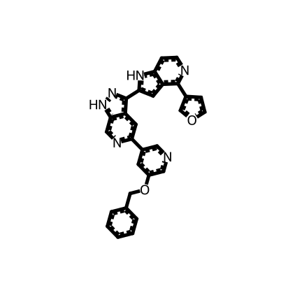 c1ccc(COc2cncc(-c3cc4c(-c5cc6c(-c7ccoc7)nccc6[nH]5)n[nH]c4cn3)c2)cc1